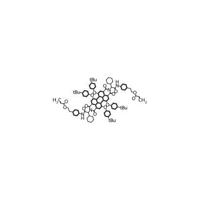 C=CC(=O)OCCc1ccc(NC(=O)C(C2CCCCC2)N2C(=O)c3cc(Oc4ccc(C(C)(C)C)cc4)c4c5c(Oc6ccc(C(C)(C)C)cc6)cc6c7c(cc(Oc8ccc(C(C)(C)C)cc8)c(c8c(Oc9ccc(C(C)(C)C)cc9)cc(c3c48)C2=O)c75)C(=O)N(C(C(=O)Nc2ccc(CCOC(=O)C=C)cc2)C2CCCCC2)C6=O)cc1